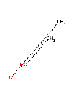 CCCCCCCCCCCCCCCCCCCCCCCCCCCCCCCCCCO.CCCCCCCCCCCCCCCCO